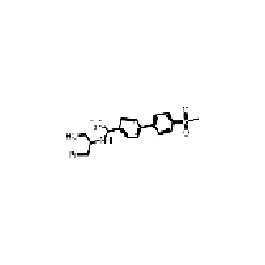 CC(C)CC(CO)NC(c1ccc(-c2ccc(S(C)(=O)=O)cc2)cc1)C(F)(F)F